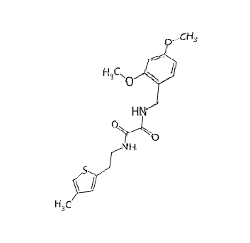 COc1ccc(CNC(=O)C(=O)NCCc2cc(C)cs2)c(OC)c1